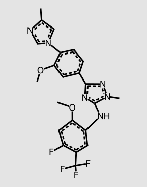 COc1cc(F)c(C(F)(F)F)cc1Nc1nc(-c2ccc(-n3cnc(C)c3)c(OC)c2)nn1C